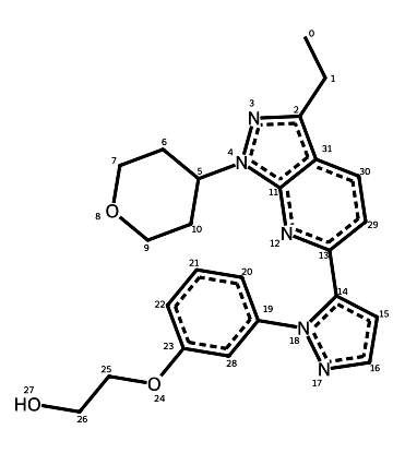 CCc1nn(C2CCOCC2)c2nc(-c3ccnn3-c3cccc(OCCO)c3)ccc12